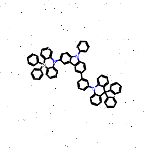 c1ccc(-n2c3ccc(-c4cccc(N5c6ccccc6C(c6ccccc6)(c6ccccc6)c6ccccc65)c4)cc3c3cc(N4c5ccccc5[Si](c5ccccc5)(c5ccccc5)c5ccccc54)ccc32)cc1